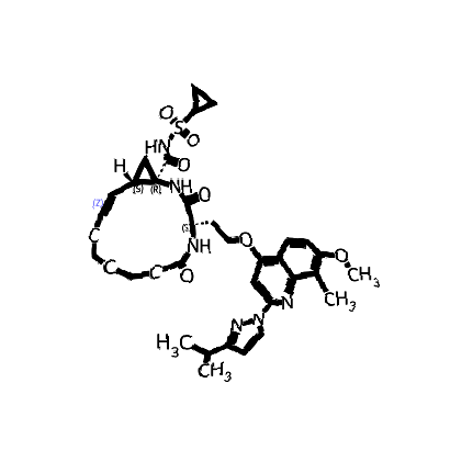 COc1ccc2c(OCC[C@@H]3NC(=O)CCCCC/C=C\[C@@H]4C[C@@]4(C(=O)NS(=O)(=O)C4CC4)NC3=O)cc(-n3ccc(C(C)C)n3)nc2c1C